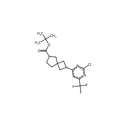 CC(C)(C)OC(=O)N1CCC2(C1)CN(c1cc(C(F)(F)F)nc(Cl)n1)C2